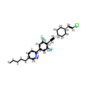 CCCCCc1ccc(-c2cc(F)c(C#C[C@H]3CC[C@H](C=CCl)CC3)c(F)c2)nc1